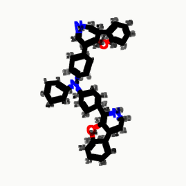 c1ccc(N(c2ccc(-c3cncc4c3oc3ccccc34)cc2)c2ccc(-c3nccc4c3oc3ccccc34)cc2)cc1